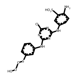 Nc1ccc(Nc2nc(Cl)nc(Nc3cccc(SOOO)c3)n2)cc1S(=O)(=O)O